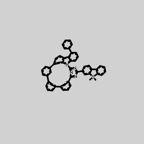 CS1(C)c2ccccc2-c2ccc(-c3nc4nc(n3)-n3c5cc(ccc5c5c(-c6ccccc6)cccc53)-c3cccc(c3)-c3cccc(c3)-c3cccc-4c3)cc21